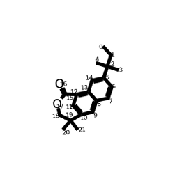 CCC(C)(C)c1ccc2cc3cc(c2c1)C(=O)OCC3(C)C